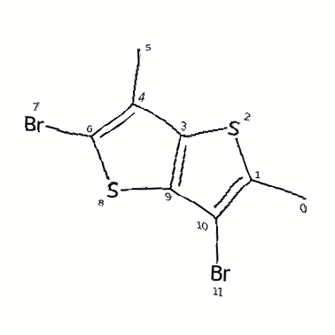 Cc1sc2c(C)c(Br)sc2c1Br